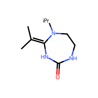 CC(C)=C1NC(=O)NCCN1C(C)C